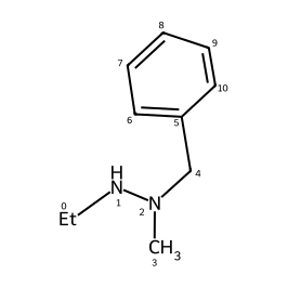 CCNN(C)Cc1ccccc1